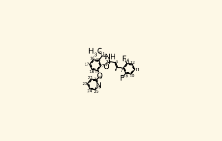 C[C@H](NC(=O)/C=C/c1c(F)cccc1F)c1cccc(Oc2ccccn2)c1